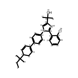 CCC(C)(C)C1C=CC(c2ccc(-n3cc(C(C)(C)O)nc3-c3ccccc3Cl)cc2)=CC1